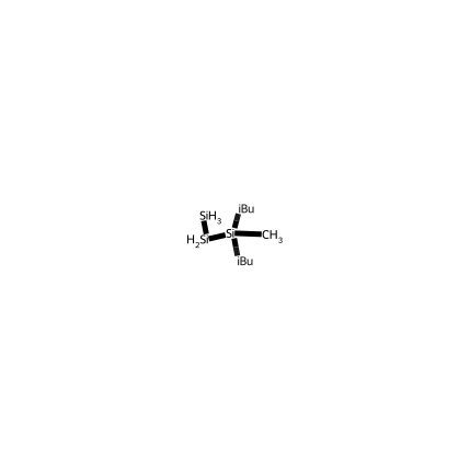 CCC(C)[Si](C)([SiH2][SiH3])C(C)CC